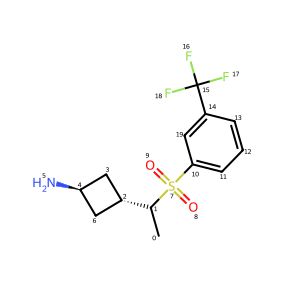 CC([C@H]1C[C@H](N)C1)S(=O)(=O)c1cccc(C(F)(F)F)c1